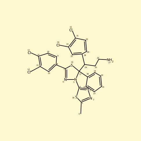 Cc1nnc(N2N=C(c3ccc(Cl)c(Cl)c3)SC2(c2ccccc2)C(CCN)c2ccc(Cl)c(Cl)c2)s1